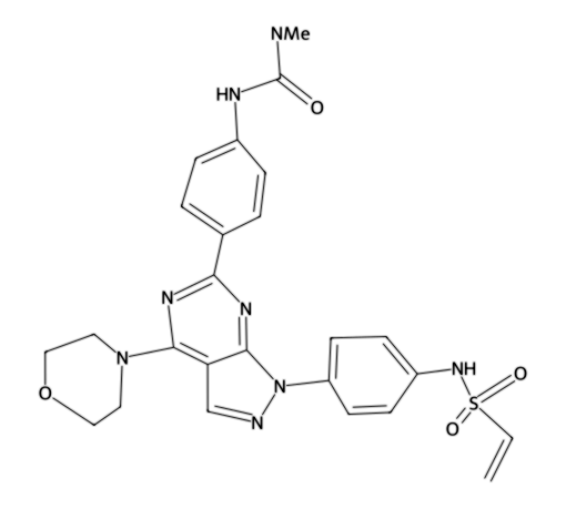 C=CS(=O)(=O)Nc1ccc(-n2ncc3c(N4CCOCC4)nc(-c4ccc(NC(=O)NC)cc4)nc32)cc1